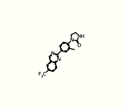 Cc1cc(-c2ncc3cc(C(F)(F)F)ccc3n2)ccc1N1CCNC1=O